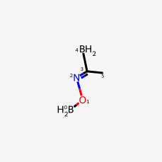 BO/N=C(/B)C